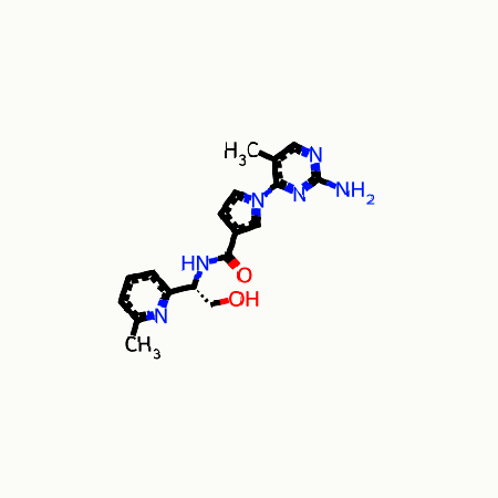 Cc1cccc([C@@H](CO)NC(=O)c2ccn(-c3nc(N)ncc3C)c2)n1